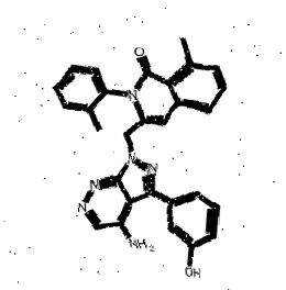 Cc1ccccc1-n1c(Cn2nc(-c3cccc(O)c3)c3c(N)cnnc32)cc2cccc(C)c2c1=O